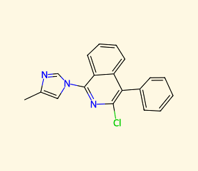 Cc1cn(-c2nc(Cl)c(-c3ccccc3)c3ccccc23)cn1